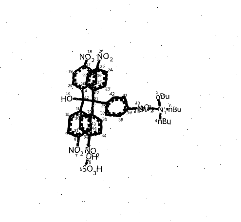 CCCC[N+](CCCC)(CCCC)CCCC.O=S(=O)(O)O.O=[N+]([O-])c1ccc(C(O)(c2ccc([N+](=O)[O-])cc2)C(c2ccc([N+](=O)[O-])cc2)(c2ccc([N+](=O)[O-])cc2)c2ccc([N+](=O)[O-])cc2)cc1